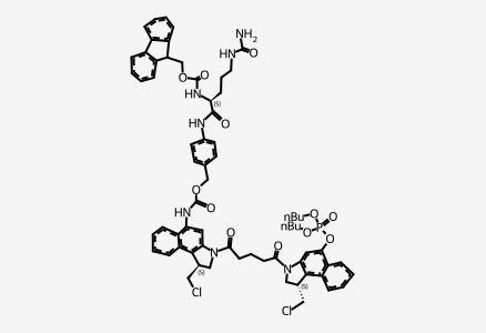 CCCCOP(=O)(OCCCC)Oc1cc2c(c3ccccc13)[C@H](CCl)CN2C(=O)CCCC(=O)N1C[C@@H](CCl)c2c1cc(NC(=O)OCc1ccc(NC(=O)[C@H](CCCNC(N)=O)NC(=O)OCC3c4ccccc4-c4ccccc43)cc1)c1ccccc21